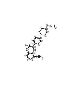 CC1(C)Oc2ncnc(N)c2N=C1c1ccc([C@H]2CC[C@H](CN)CC2)cc1